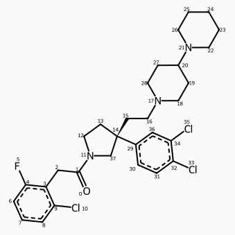 O=C(Cc1c(F)cccc1Cl)N1CC[C@](CCN2CCC(N3CCCCC3)CC2)(c2ccc(Cl)c(Cl)c2)C1